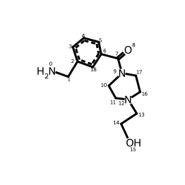 NCc1cccc(C(=O)N2CCN(CCO)CC2)c1